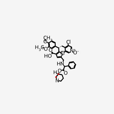 COc1ccc([C@H](Cc2c(Cl)c[n+]([O-])cc2Cl)c2sc(CNC(C(=O)O[C@H]3CN4CCC3CC4)c3ccccc3)cc2C(=O)O)cc1OC